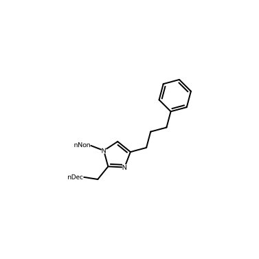 CCCCCCCCCCCc1nc(CCCc2ccccc2)cn1CCCCCCCCC